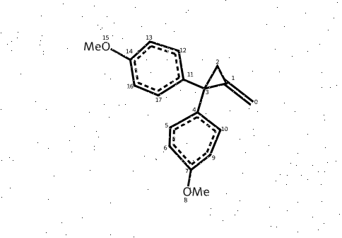 C=C1CC1(c1ccc(OC)cc1)c1ccc(OC)cc1